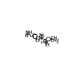 CCn1nc(-c2nc(-c3ccc(CCC(N)=O)cc3C(F)(F)F)no2)c2c1CC(C)(C)CC2